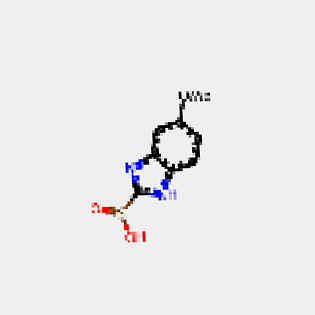 COc1ccc2[nH]c(S(=O)O)nc2c1